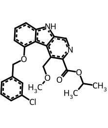 COCc1c(C(=O)OC(C)C)ncc2[nH]c3cccc(OCc4cccc(Cl)c4)c3c12